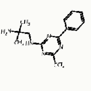 CC(C)(N)CNc1nc(-c2ccccc2)nc(C(Cl)(Cl)Cl)n1